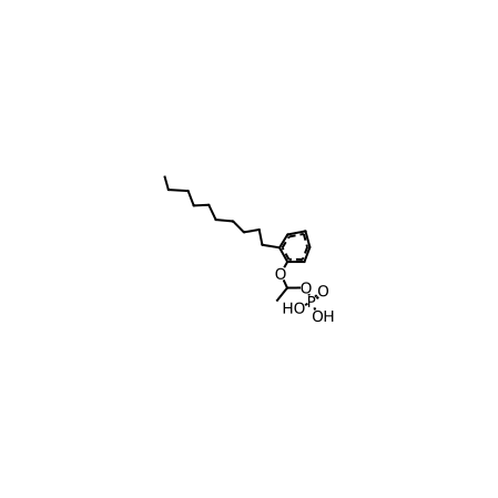 CCCCCCCCCCc1ccccc1OC(C)OP(=O)(O)O